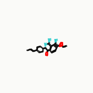 CCCC1CCC(CC(=O)c2ccc(OCC)c(F)c2C(F)F)CC1